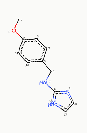 COc1ccc(CNc2ncc[nH]2)cc1